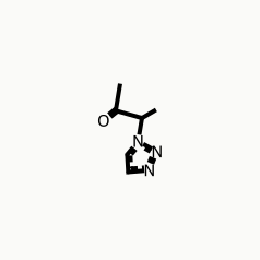 CC(=O)C(C)n1ccnn1